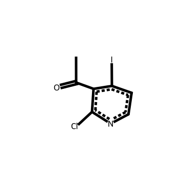 CC(=O)c1c(I)ccnc1Cl